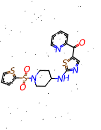 O=C(c1ccccn1)c1cnc(NC2CCN(S(=O)(=O)c3cccs3)CC2)s1